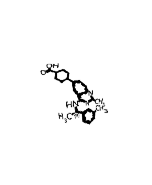 Cc1cccc([C@@H](C)Nc2nc(C)nc3ccc(C4CCC(C(=O)O)CC4)cc23)c1